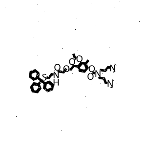 CC(=O)OC(COCC(=O)NCCSC(c1ccccc1)(c1ccccc1)c1ccccc1)c1ccc(OC(=O)N(CCCN(C)C)CCCN(C)C)c(C)c1